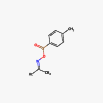 CC(=O)C(C)=NOS(=O)c1ccc(C)cc1